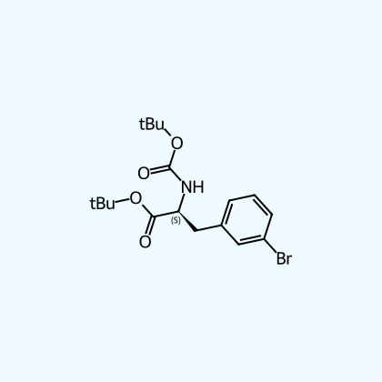 CC(C)(C)OC(=O)N[C@@H](Cc1cccc(Br)c1)C(=O)OC(C)(C)C